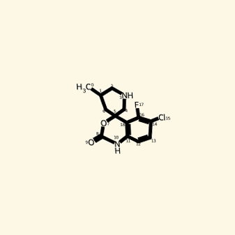 CC1CNCC2(C1)OC(=O)Nc1ccc(Cl)c(F)c12